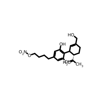 C=C(C)[C@H]1CCC(CO)=CC1c1c(O)cc(CCCCO[N+](=O)[O-])cc1O